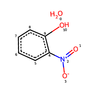 O.O=[N+]([O-])c1ccccc1O